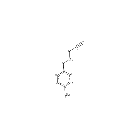 C#CCOCc1ccc(C(C)(C)C)cc1